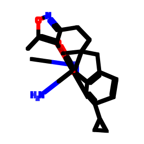 Cc1onc2c1CC1(CC2)Cc2ccc(C3CC3)cc2C12N=C(N)N(C)C2=O